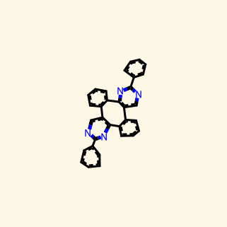 c1ccc(-c2ncc3c(n2)-c2ccccc2-c2cnc(-c4ccccc4)nc2-c2ccccc2-3)cc1